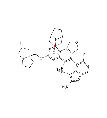 CN1CC2CCC(C1)N2c1nc(OC[C@@]23CCCN2C[C@H](F)C3)nc2c(F)c(-c3c(F)ccc4sc(N)c(C#N)c34)c3c(c12)COC3